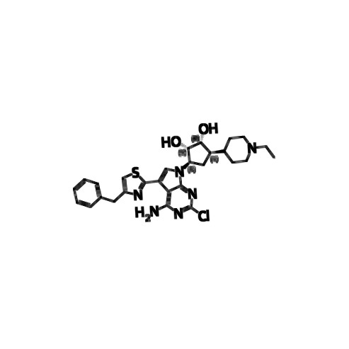 CCN1CCC([C@H]2C[C@@H](n3cc(-c4nc(Cc5ccccc5)cs4)c4c(N)nc(Cl)nc43)[C@H](O)[C@@H]2O)CC1